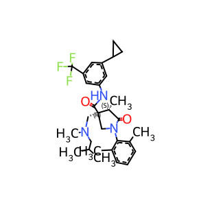 Cc1cccc(C)c1N1C[C@@](CN(C)CC(C)C)(C(=O)Nc2cc(C3CC3)cc(C(F)(F)F)c2)[C@H](C)C1=O